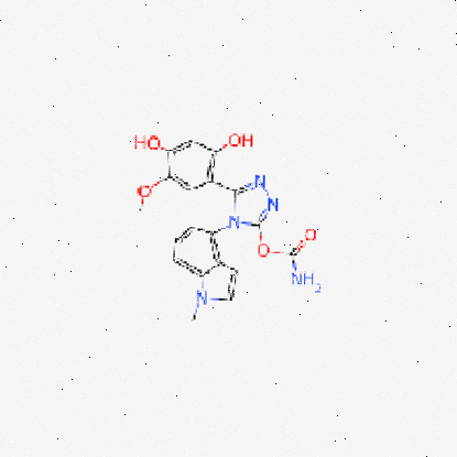 COc1cc(-c2nnc(OC(N)=O)n2-c2cccc3c2ccn3C)c(O)cc1O